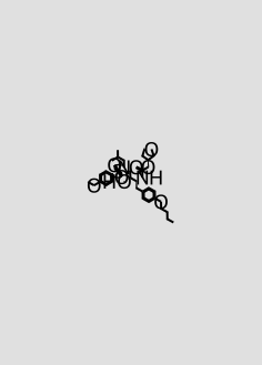 CCCCOc1ccc(C[C@H](NC(=O)O[C@H]2CCOC2)[C@H](O)CN(CC(C)C)S(=O)(=O)c2ccc(OC)cc2)cc1